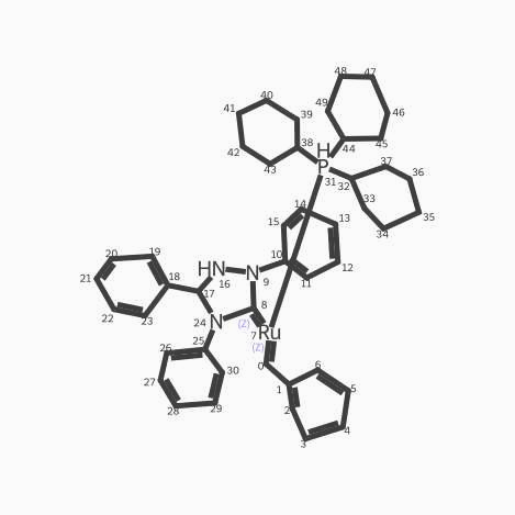 [CH](/c1ccccc1)=[Ru](=[C]1/N(c2ccccc2)NC(c2ccccc2)N1c1ccccc1)/[PH](C1CCCCC1)(C1CCCCC1)C1CCCCC1